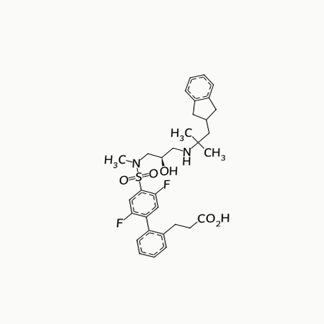 CN(C[C@H](O)CNC(C)(C)CC1Cc2ccccc2C1)S(=O)(=O)c1cc(F)c(-c2ccccc2CCC(=O)O)cc1F